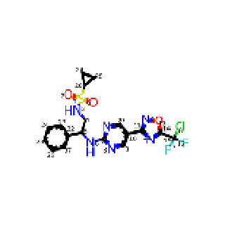 O=S(=O)(NCC(Nc1ncc(-c2noc(C(F)(F)Cl)n2)cn1)c1ccccc1)C1CC1